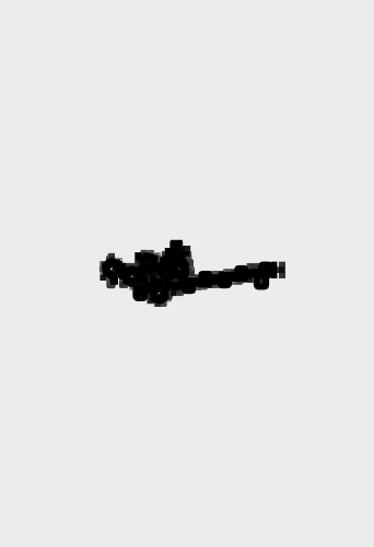 CC1CCCCN1c1ccc(NC(=O)c2cccc(CCCOCCOCCOCCOCCC(=O)O)c2)c(-c2cc(C(=O)NCc3cccc(C(F)(F)F)c3)ccn2)c1